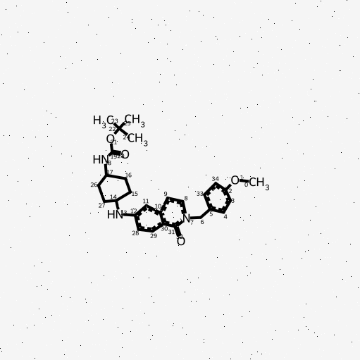 COc1ccc(Cn2ccc3cc(NC4CCC(NC(=O)OC(C)(C)C)CC4)ccc3c2=O)cc1